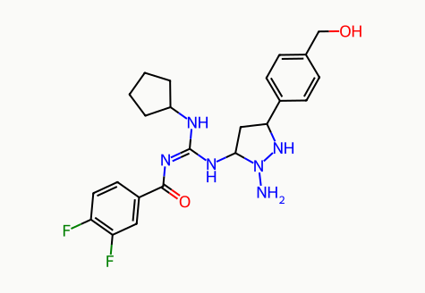 NN1NC(c2ccc(CO)cc2)CC1N/C(=N\C(=O)c1ccc(F)c(F)c1)NC1CCCC1